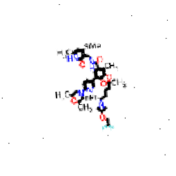 CCC[C@H](CCCC1(C)Oc2c(-c3ccc(N4C[C@@H](C)O[C@@H](C)C4)nc3)cc(C(=O)NCc3c(SC)cc(C)[nH]c3=O)c(C)c2O1)N1CC(OCC(F)F)C1